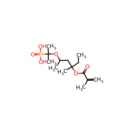 C=C(C)C(=O)OC(C)(CC)CC(C)OC(C)(C)P(=O)(O)O